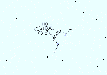 CCCCC/C=C\CCOC(=O)CCCCC(=O)OCC(CO)(COC(=O)CCCCC(=O)OCC/C=C\CCCCC)COC(=O)C1(C2CCCCC2)CCCCC1